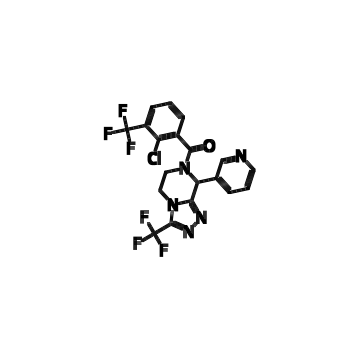 O=C(c1cccc(C(F)(F)F)c1Cl)N1CCn2c(nnc2C(F)(F)F)C1c1cccnc1